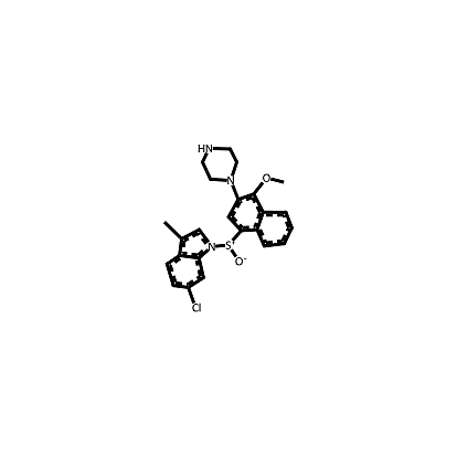 COc1c(N2CCNCC2)cc([S+]([O-])n2cc(C)c3ccc(Cl)cc32)c2ccccc12